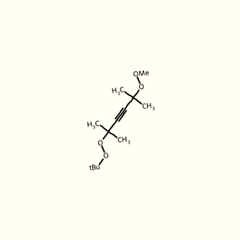 COOC(C)(C)C#CC(C)(C)OOC(C)(C)C